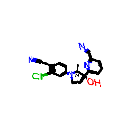 C[C@@H]1N(c2ccc(C#N)c(Cl)c2)CC[C@@]1(O)c1cccc(C#N)n1